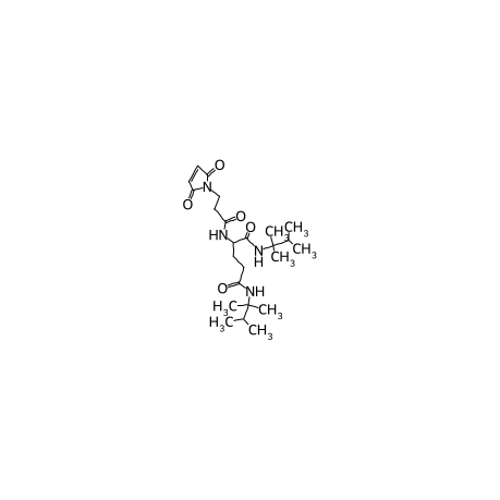 CC(C)C(C)(C)NC(=O)CCC(NC(=O)CCN1C(=O)C=CC1=O)C(=O)NC(C)(C)C(C)C